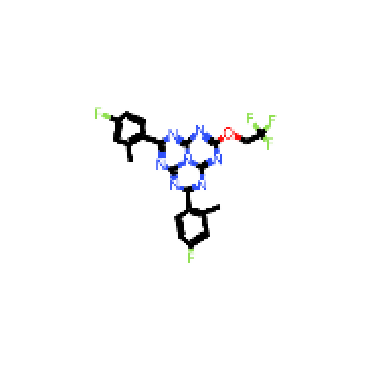 Cc1cc(F)ccc1C1=NC2=NC(OCC(F)(F)F)=NC3=NC(c4ccc(F)cc4C)=NC(=N1)N23